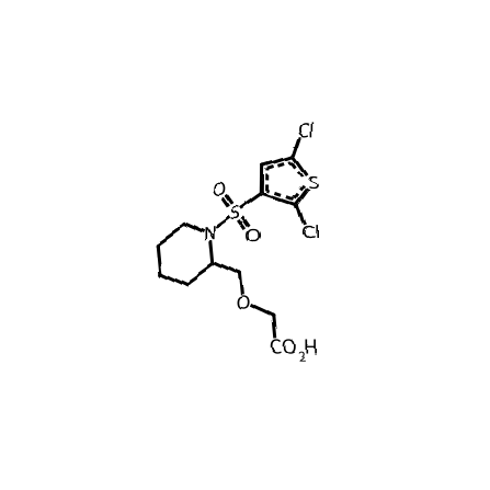 O=C(O)COCC1CCCCN1S(=O)(=O)c1cc(Cl)sc1Cl